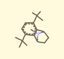 CN1C2CCC1c1c(C(C)(C)C)ccc(C(C)(C)C)c12